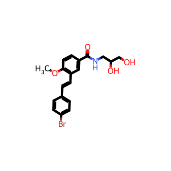 COc1ccc(C(=O)NCC(O)CO)cc1/C=C/c1ccc(Br)cc1